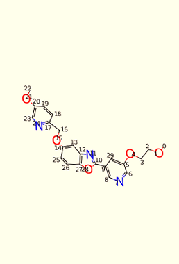 COCCOc1cncc(-c2nc3cc(OCc4ccc(OC)cn4)ccc3o2)c1